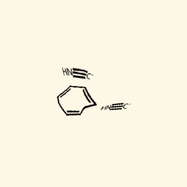 [C-]#[NH+].[C-]#[NH+].c1ccccc1